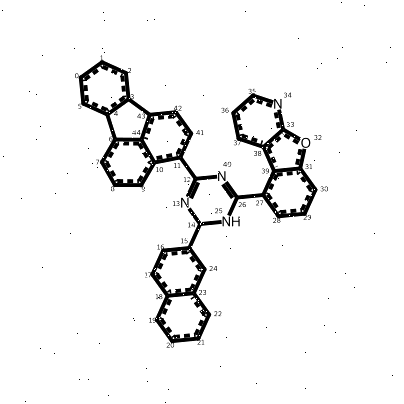 c1ccc2c(c1)-c1cccc3c(C4=NC(c5ccc6ccccc6c5)NC(c5cccc6oc7ncccc7c56)=N4)ccc-2c13